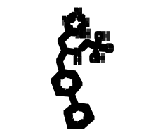 O=P(O)(O)CNC(Cc1ccc(-c2ccccc2)cc1)Cc1nnn[nH]1